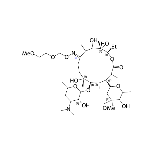 CC[C@H]1OC(=O)C(C)[C@@H](C2C[C@@](C)(OC)C(O)C(C)O2)[C@H](C)[C@@H](OC2OC(C)CC(N(C)C)[C@H]2O)[C@](C)(O)CC/C(=N\OCOCCOC)C(C)C(O)[C@]1(C)O